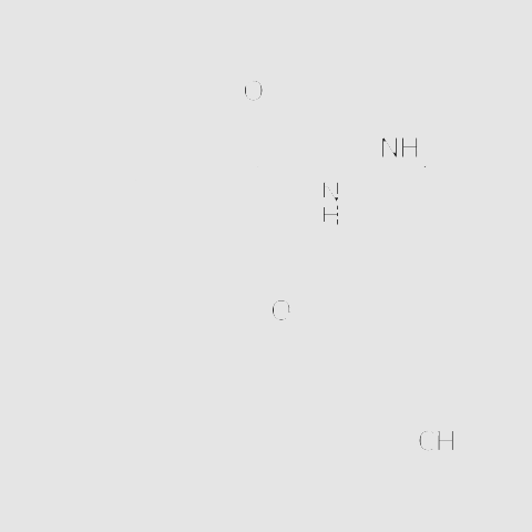 C#CCOc1ccccc1C(=O)NN